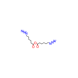 [N-]=[N+]=NCCCCCC(=O)OC(=O)CCCCCN=[N+]=[N-]